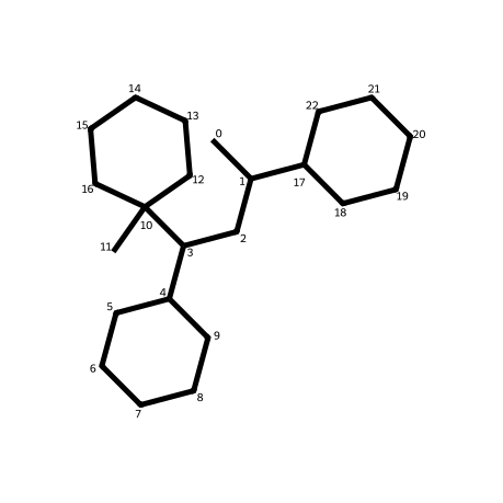 CC(CC(C1CCCCC1)C1(C)CCCCC1)C1CCCCC1